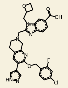 O=C(O)c1ccc2nc(CN3CCc4cc(-c5cn[nH]c5)c(OCc5ccc(Cl)cc5F)nc4C3)n(CC3CCO3)c2c1